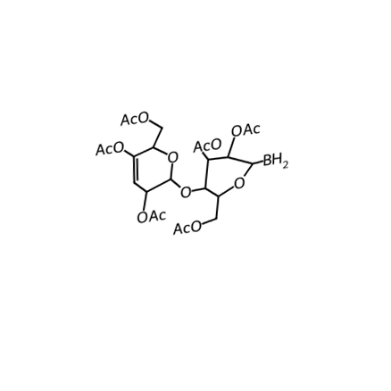 BC1OC(COC(C)=O)C(OC2OC(COC(C)=O)C(OC(C)=O)=CC2OC(C)=O)C(OC(C)=O)C1OC(C)=O